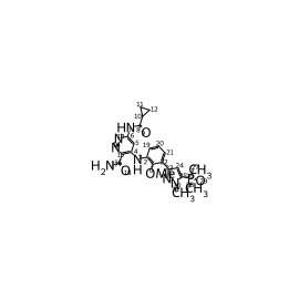 COc1c(Nc2cc(NC(=O)C3CC3)nnc2C(N)=O)cccc1-c1cc(P(C)(C)=O)n(C)n1